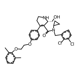 Cc1cccc(C)c1OCCOc1ccc(C2=C(C(=O)N(Cc3cccc(Cl)c3Cl)C3CC3)[C@@H](CO)NCC2)cc1